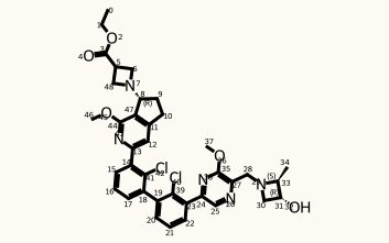 CCOC(=O)C1CN([C@@H]2CCc3cc(-c4cccc(-c5cccc(-c6cnc(CN7C[C@@H](O)[C@@H]7C)c(OC)n6)c5Cl)c4Cl)nc(OC)c32)C1